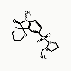 CN1C(=O)C2(OCCCO2)c2cc(S(=O)(=O)N3CCC[C@H]3CN)ccc21